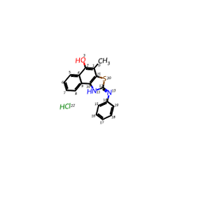 Cc1c(O)c2ccccc2c2[nH]/c(=N\c3ccccc3)sc12.Cl